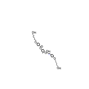 Cc1cc(OC(=O)c2ccc(OCCCCCCO)cc2)ccc1OC(O)/C=C/c1ccc(OCCCCCCO)cc1